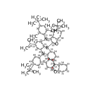 Cc1cc(C(C)(C)C)cc(C)c1N1c2cc(C(C)C)cc3c2B(c2ccc(-c4coc5ccccc45)cc2N3c2ccc(C(C)(C)C)cc2-c2ccccc2)c2oc3ccc(C(C)(C)C)cc3c21